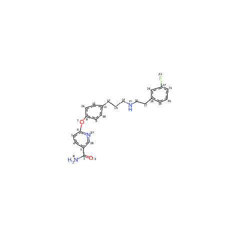 NC(=O)c1ccc(Oc2ccc(CCCNCCc3cccc(F)c3)cc2)nc1